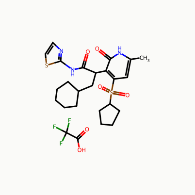 Cc1cc(S(=O)(=O)C2CCCC2)c(C(CC2CCCCC2)C(=O)Nc2nccs2)c(=O)[nH]1.O=C(O)C(F)(F)F